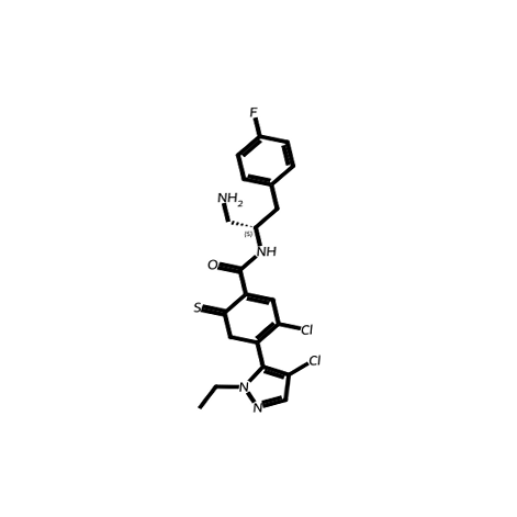 CCn1ncc(Cl)c1C1=C(Cl)C=C(C(=O)N[C@H](CN)Cc2ccc(F)cc2)C(=S)C1